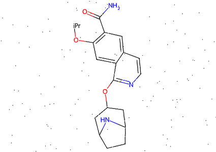 CC(C)Oc1cc2c(OC3CC4CCC(C3)N4)nccc2cc1C(N)=O